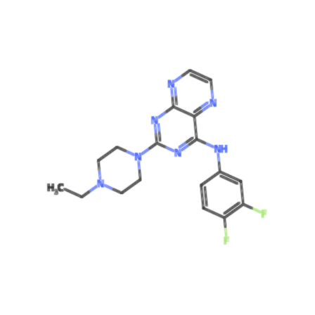 CCN1CCN(c2nc(Nc3ccc(F)c(F)c3)c3nccnc3n2)CC1